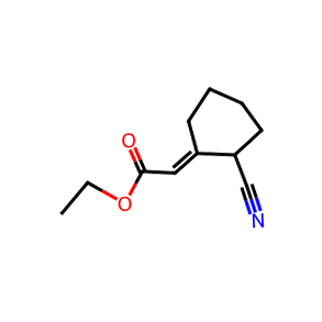 CCOC(=O)/C=C1\CCCCC1C#N